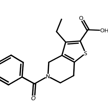 CCc1c(C(=O)O)sc2c1CN(C(=O)c1ccccc1)CC2